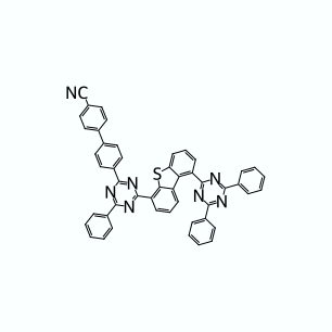 N#Cc1ccc(-c2ccc(-c3nc(-c4ccccc4)nc(-c4cccc5c4sc4cccc(-c6nc(-c7ccccc7)nc(-c7ccccc7)n6)c45)n3)cc2)cc1